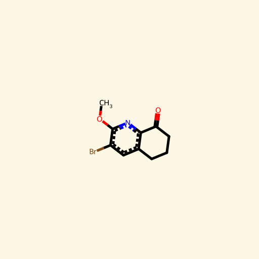 COc1nc2c(cc1Br)CCCC2=O